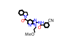 COCCCn1c(NC(=O)c2cccc(C#N)c2)nc2cc(C(=O)N3CCc4ccccc43)cnc21